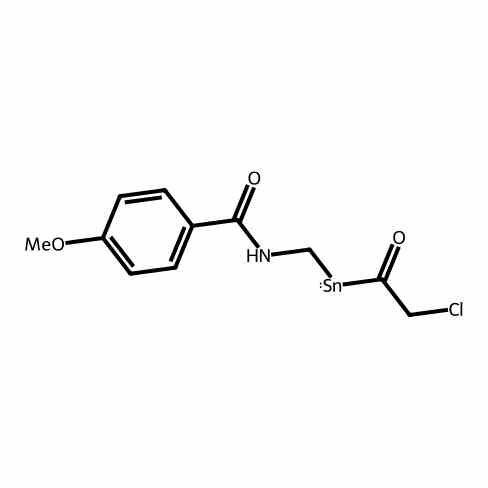 COc1ccc(C(=O)N[CH2][Sn][C](=O)CCl)cc1